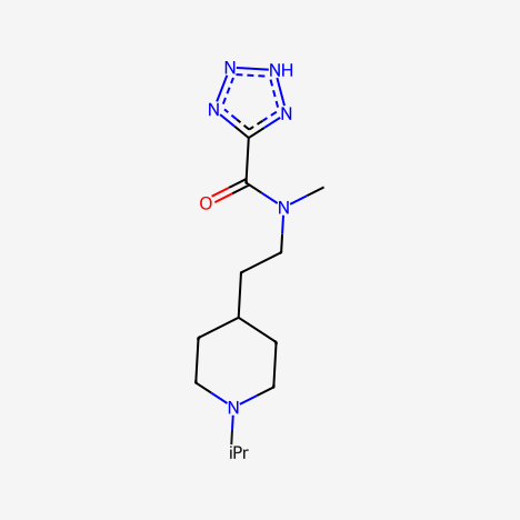 CC(C)N1CCC(CCN(C)C(=O)c2nn[nH]n2)CC1